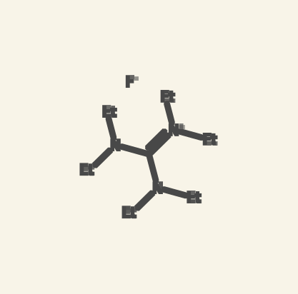 CCN(CC)C(N(CC)CC)=[N+](CC)CC.[F-]